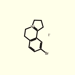 Brc1ccc2c(c1)C1=[N+](CCC1)CC2.[I-]